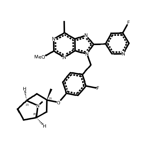 COc1nc(C)c2nc(-c3cncc(F)c3)n(Cc3ccc(O[C@]4(C)C[C@H]5CC[C@@H](C4)N5C)cc3F)c2n1